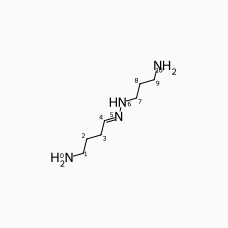 NCCC/C=N/NCCCN